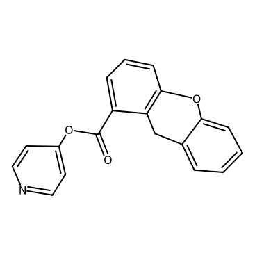 O=C(Oc1ccncc1)c1cccc2c1Cc1ccccc1O2